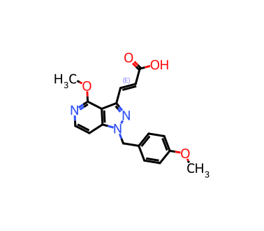 COc1ccc(Cn2nc(/C=C/C(=O)O)c3c(OC)nccc32)cc1